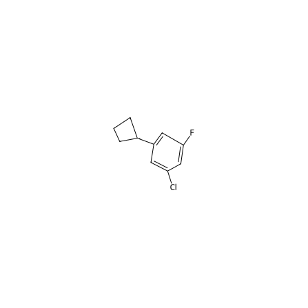 Fc1cc(Cl)cc([C]2CCC2)c1